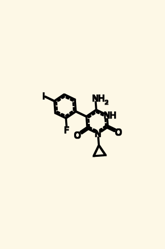 Nc1[nH]c(=O)n(C2CC2)c(=O)c1-c1ccc(I)cc1F